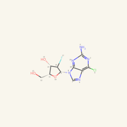 Nc1nc(Cl)c2ncn([C@@H]3O[C@H](CO)[C@H](O)C3F)c2n1